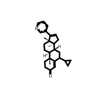 C[C@]12CCC(=O)C=C1C(C1CC1)C[C@@H]1[C@@H]2CC[C@]2(C)C(c3cccnc3)=CC[C@@]12C